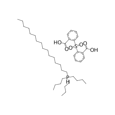 CCCCCCCCCCCCCCCC[PH](CCCC)(CCCC)CCCC.O=C(O)c1ccccc1S(=O)(=O)c1ccccc1C(=O)O